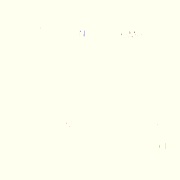 COc1nc2ccccc2c2c1-c1ccc(Cl)cc1C2=O